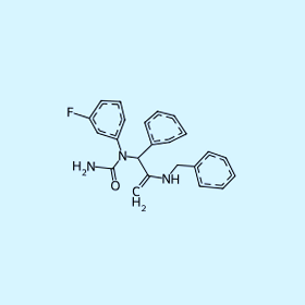 C=C(NCc1ccccc1)C(c1ccccc1)N(C(N)=O)c1cccc(F)c1